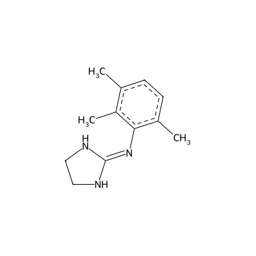 Cc1ccc(C)c(N=C2NCCN2)c1C